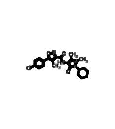 Cc1c(C(=O)Nc2c(C)n(C)n(C3CCCCC3)c2=O)noc1-c1ccc(Cl)cc1